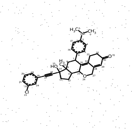 CN(C)c1ccc(C2CC3(C)C(CCC3(O)C#Cc3cccc(Cl)c3)C3OCC4=CC(=O)CCC4=C23)cc1